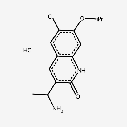 CC(C)Oc1cc2[nH]c(=O)c(C(C)N)cc2cc1Cl.Cl